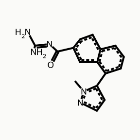 Cn1nccc1-c1cccc2ccc(C(=O)N=C(N)N)cc12